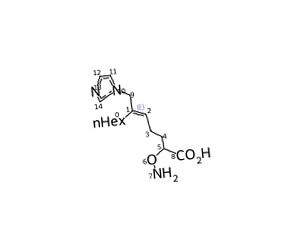 CCCCCC/C(=C\CCC(ON)C(=O)O)Cn1ccnc1